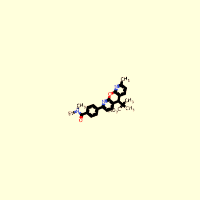 CCN(C)C(=O)c1ccc(-c2ccc3c(n2)Oc2nc(C)ccc2C3C(C)(C)C(=O)O)cc1